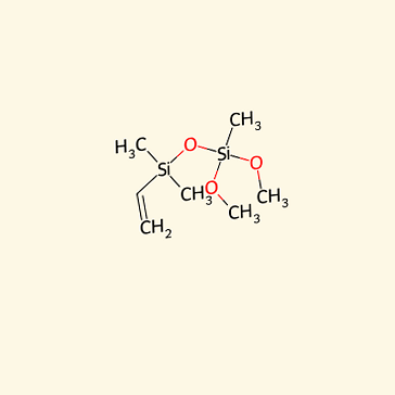 C=C[Si](C)(C)O[Si](C)(OC)OC